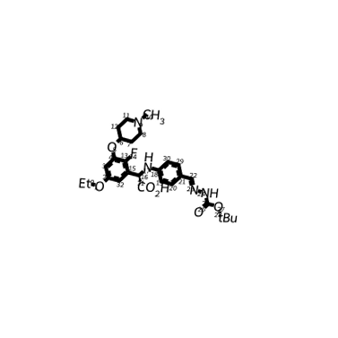 CCOc1cc(OC2CCN(C)CC2)c(F)c([C@@H](Nc2ccc(C=NNC(=O)OC(C)(C)C)cc2)C(=O)O)c1